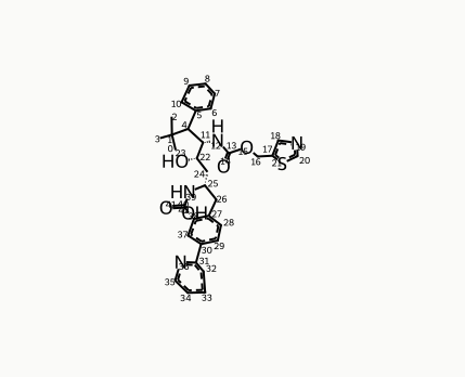 CC(C)(C)C(c1ccccc1)[C@H](NC(=O)OCc1cncs1)[C@@H](O)C[C@H](Cc1ccc(-c2ccccn2)cc1)NC(=O)O